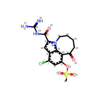 CS(=O)(=O)Oc1cc(Cl)c2cc(C(=O)NC(=N)N)n3c2c1C(=O)CCCC3